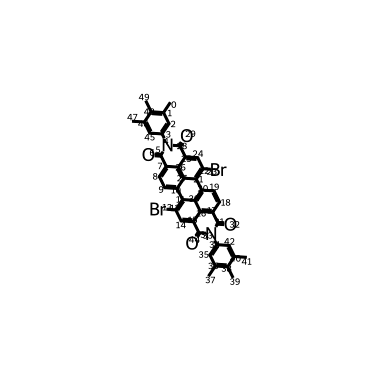 Cc1cc(N2C(=O)c3ccc4c5c(Br)cc6c7c(ccc(c8c(Br)cc(c3c48)C2=O)c75)C(=O)N(c2cc(C)c(C)c(C)c2)C6=O)cc(C)c1C